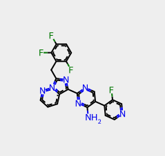 Nc1nc(-c2nc(Cc3c(F)ccc(F)c3F)n3ncccc23)ncc1-c1ccncc1F